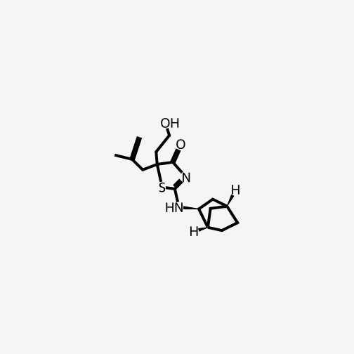 C=C(C)CC1(CCO)SC(N[C@H]2C[C@@H]3CC[C@H]2C3)=NC1=O